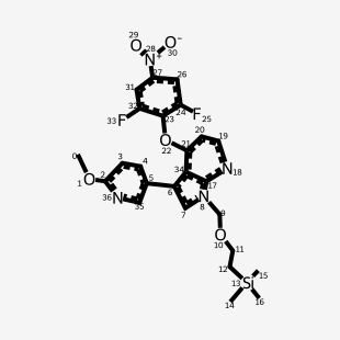 COc1ccc(-c2cn(COCC[Si](C)(C)C)c3nccc(Oc4c(F)cc([N+](=O)[O-])cc4F)c23)cn1